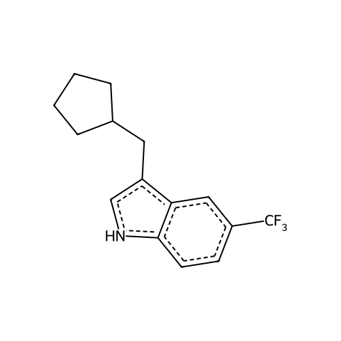 FC(F)(F)c1ccc2[nH]cc(CC3CCCC3)c2c1